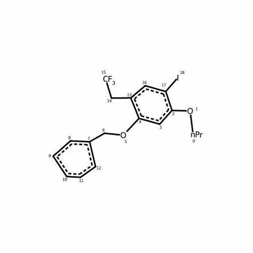 CCCOc1cc(OCc2ccccc2)c(CC(F)(F)F)cc1I